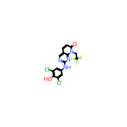 O=c1ccc2cnc(Nc3cc(Cl)c(O)c(Cl)c3)nc2n1CC(F)(F)F